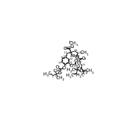 CCC(C)(C)OC(=O)Oc1ccc(CC(N)(C[C@H](C)OC(=O)OCCC(C)C)C(=O)OC)cc1OC(=O)OC(C)(C)CC